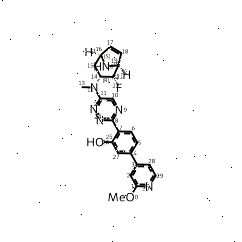 COc1cc(-c2ccc(-c3ncc(N(C)[C@@H]4C[C@H]5C=C[C@H](N5)[C@@H]4F)nn3)c(O)c2)ccn1